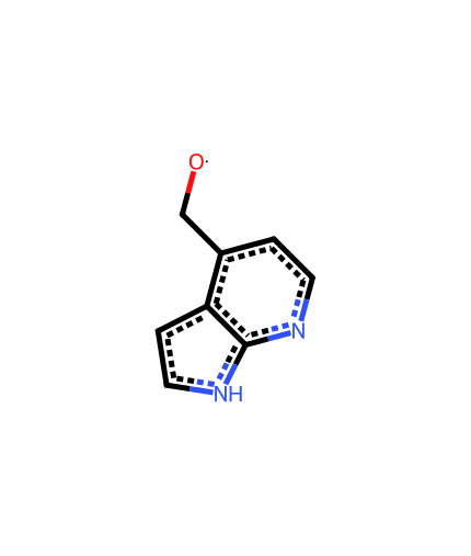 [O]Cc1ccnc2[nH]ccc12